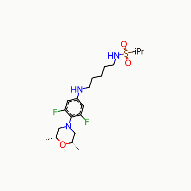 CC(C)S(=O)(=O)NCCCCCNc1cc(F)c(N2C[C@@H](C)O[C@@H](C)C2)c(F)c1